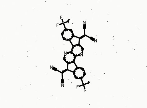 N#CC(C#N)=C1c2cc(C(F)(F)F)ccc2-c2c1cnc1c3c(cnc21)C(=C(C#N)C#N)c1cc(C(F)(F)F)ccc1-3